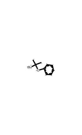 CC(C)(C)C(C)(C)Oc1ccccc1